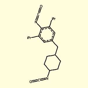 CC(C)c1cc(CC2CCC(N=C=O)CC2)cc(C(C)C)c1N=C=O